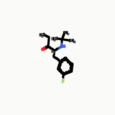 CCC(=O)[C@@H](Cc1cccc(F)c1)NC(C)(C)C